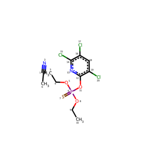 CC#N.CCOP(=S)(OCC)Oc1nc(Cl)c(Cl)cc1Cl